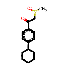 C[S+]([O-])CC(=O)c1ccc(C2CCCCC2)cc1